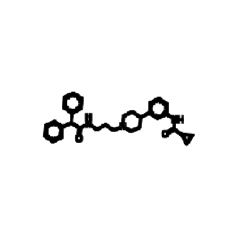 O=C(Nc1cccc(C2CCN(CCCNC(=O)C(c3ccccc3)c3ccccc3)CC2)c1)C1CC1